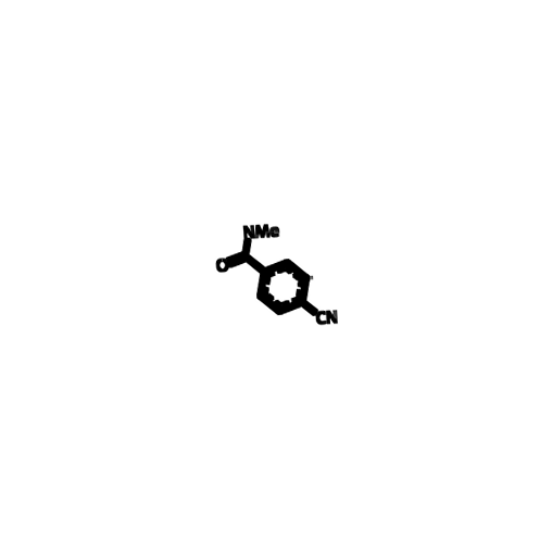 CNC(=O)c1c[c]c(C#N)cc1